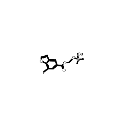 CC(C)(C)[Si](C)(C)OCOC(=O)c1cc(I)c2occc2c1